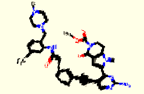 CCN1CCN(Cc2ccc(C(F)(F)F)cc2NC(=O)Cc2cccc(C#Cc3cnc(N)nc3-c3cc4c(n3C)CCN(C(=O)OC(C)(C)C)C4=O)c2)CC1